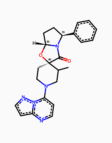 CC1CN(c2ccnc3ccnn23)CC[C@@]12O[C@@H]1CC[C@@H](c3ccccc3)N1C2=O